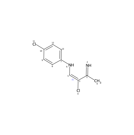 CC(=N)/C(Cl)=C\Nc1ccc(Cl)cc1